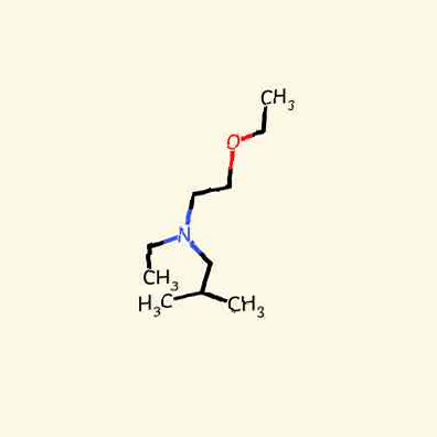 CCOCCN(CC)CC(C)C